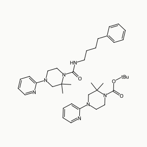 CC(C)(C)OC(=O)N1CCN(c2ccccn2)CC1(C)C.CC1(C)CN(c2ccccn2)CCN1C(=O)NCCCCc1ccccc1